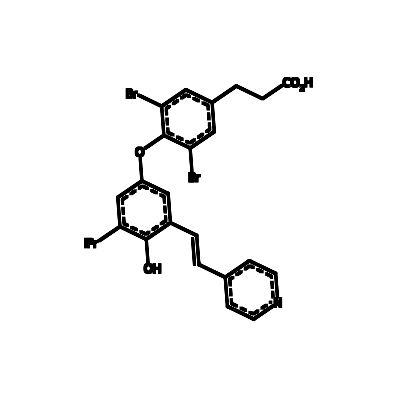 CC(C)c1cc(Oc2c(Br)cc(CCC(=O)O)cc2Br)cc(C=Cc2ccncc2)c1O